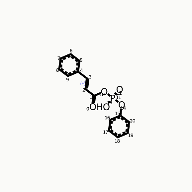 O=C(/C=C/c1ccccc1)OP(=O)(O)Oc1ccccc1